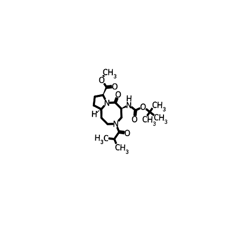 COC(=O)[C@@H]1CC[C@@H]2CCN(C(=O)C(C)C)C[C@H](NC(=O)OC(C)(C)C)C(=O)N21